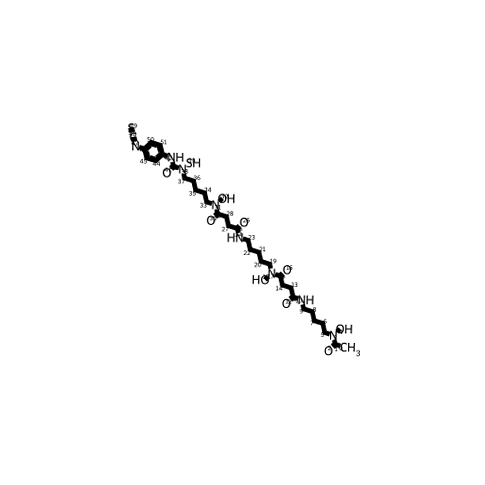 CC(=O)N(O)CCCCCNC(=O)CCC(=O)N(O)CCCCCNC(=O)CCC(=O)N(O)CCCCCN(S)C(=O)Nc1ccc(N=C=S)cc1